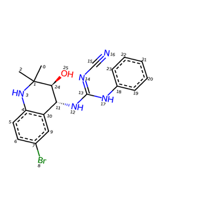 CC1(C)Nc2ccc(Br)cc2[C@@H](NC(=NC#N)Nc2ccccc2)[C@@H]1O